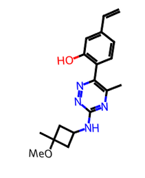 C=Cc1ccc(-c2nnc(NC3CC(C)(OC)C3)nc2C)c(O)c1